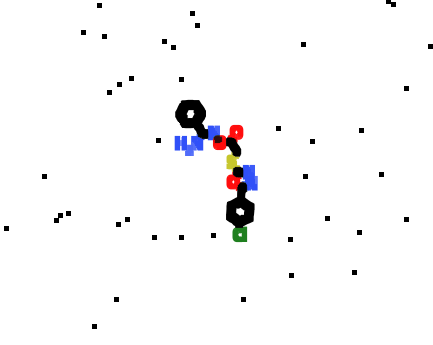 NC(=NOC(=O)CSc1nnc(-c2ccc(Cl)cc2)o1)c1ccccc1